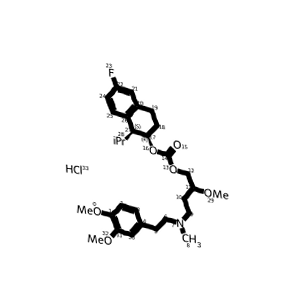 COc1ccc(CCN(C)CCC(COC(=O)O[C@@H]2CCc3cc(F)ccc3[C@@H]2C(C)C)OC)cc1OC.Cl